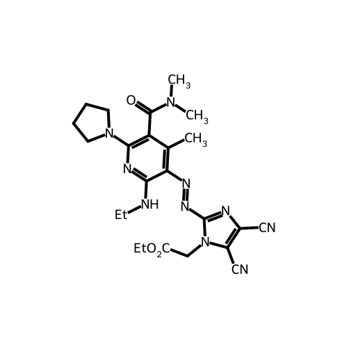 CCNc1nc(N2CCCC2)c(C(=O)N(C)C)c(C)c1N=Nc1nc(C#N)c(C#N)n1CC(=O)OCC